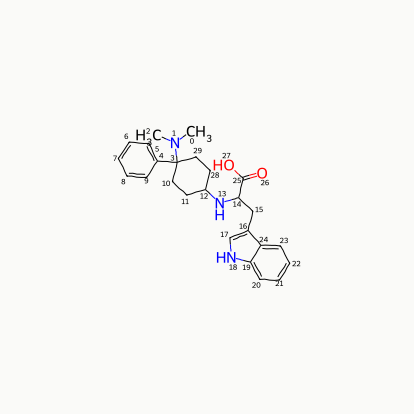 CN(C)C1(c2ccccc2)CCC(NC(Cc2c[nH]c3ccccc23)C(=O)O)CC1